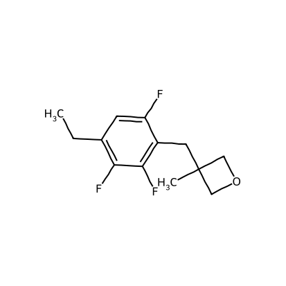 CCc1cc(F)c(CC2(C)COC2)c(F)c1F